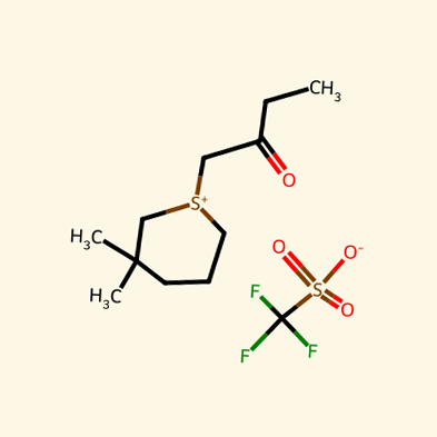 CCC(=O)C[S+]1CCCC(C)(C)C1.O=S(=O)([O-])C(F)(F)F